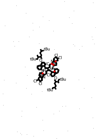 CC(CCC(COc1ccc(-c2c3/c(=C(\C#N)c4cnc5cc(Cl)c(Cl)cc5n4)n(B(c4ccccc4)c4ccccc4)c(-c4ccc(OCC(CCC(C)CC(C)(C)C)C(C)CC(C)(C)C)cc4)c3/c(=C(\C#N)c3cnc4cc(Cl)c(Cl)cc4n3)n2B(c2ccccc2)c2ccccc2)cc1)C(C)CC(C)(C)C)CC(C)(C)C